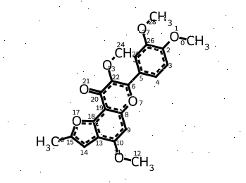 COc1ccc(-c2oc3cc(OC)c4cc(C)oc4c3c(=O)c2OC)cc1OC